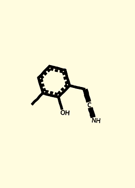 Cc1cccc(C=C=N)c1O